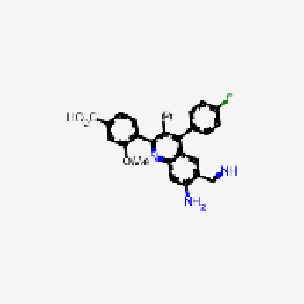 COc1cc(C(=O)O)ccc1-c1nc2cc(N)c(C=N)cc2c(-c2ccc(F)cc2)c1C(C)C